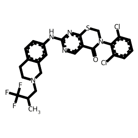 CC(CN1CCc2ccc(Nc3ncc4c(n3)SCN(c3c(Cl)cccc3Cl)C4=O)cc2C1)C(F)(F)F